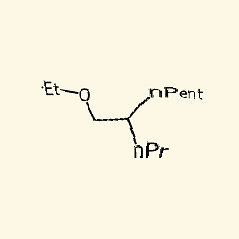 C[CH]OCC(CCC)CCCCC